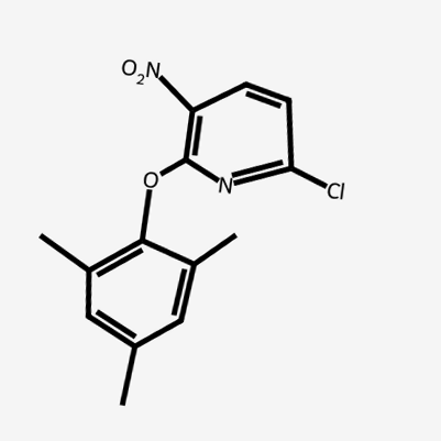 Cc1cc(C)c(Oc2nc(Cl)ccc2[N+](=O)[O-])c(C)c1